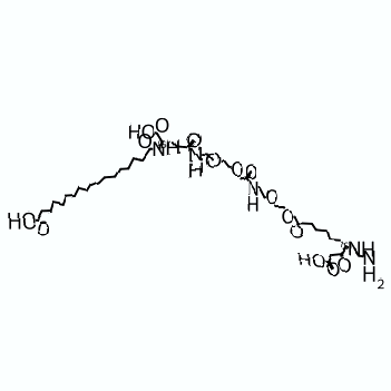 NCN[C@@H](CCCCCC(=O)COCCOCCNC(=O)COCCOCNC(=O)CC[C@H](NC(=O)CCCCCCCCCCCCCCCCC(=O)O)C(=O)O)C(=O)CC(=O)O